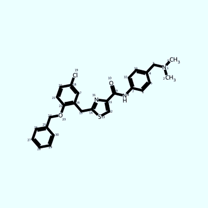 CN(C)Cc1ccc(NC(=O)c2csc(Cc3cc(Cl)ccc3OCc3ccccc3)n2)cc1